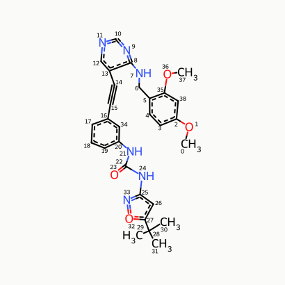 COc1ccc(CNc2ncncc2C#Cc2cccc(NC(=O)Nc3cc(C(C)(C)C)on3)c2)c(OC)c1